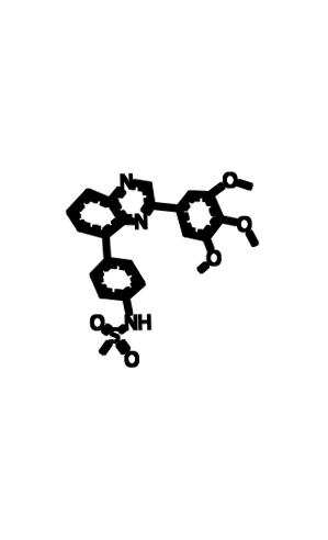 COc1cc(-c2cnc3cccc(-c4ccc(NS(C)(=O)=O)cc4)c3n2)cc(OC)c1OC